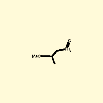 COC(C)C[PH2]=O